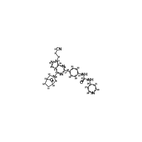 N#CCCn1ncc2c(N3CC4CCC(C3)O4)nc(-c3ccc(NC(=O)Nc4ccncc4)cc3)nc21